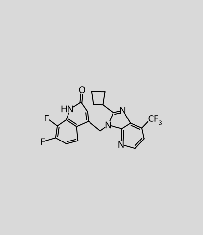 O=c1cc(Cn2c(C3CCC3)nc3c(C(F)(F)F)ccnc32)c2ccc(F)c(F)c2[nH]1